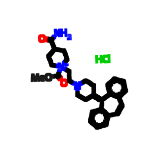 COC(=O)[N+]1(CCN2CCC(=C3c4ccccc4C=Cc4ccccc43)CC2)CCC(C(N)=O)CC1.Cl